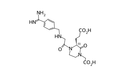 N=C(N)c1ccc(CNCC(=O)N2CCN(CC(=O)O)C(=O)[C@@H]2CCC(=O)O)cc1